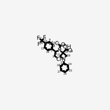 CC(=O)N(C(CCl)c1ccc(C(F)(F)F)cc1)C1(C(=O)O)CN(c2ccccc2)C1